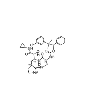 CC(C)C[C@H](NC(=O)OC(c1ccccc1)C(C)(C)c1cccc(Cl)c1)C(=O)N[C@@H](C[C@@H]1CCNC1=O)C(O)C(=O)NC1CC1